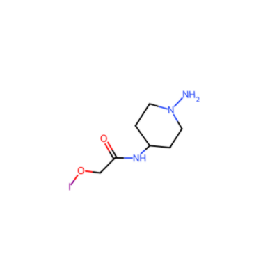 NN1CCC(NC(=O)COI)CC1